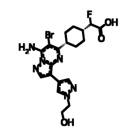 Nc1c(Br)c([C@H]2CC[C@@H](C(F)C(=O)O)CC2)nc2c(-c3cnn(CCO)c3)cnn12